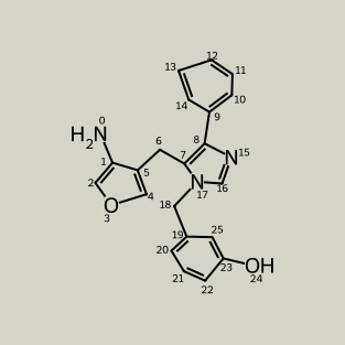 Nc1cocc1Cc1c(-c2ccccc2)ncn1Cc1cccc(O)c1